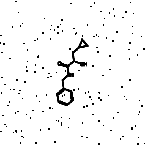 O=C(NCc1ccccc1)C(O)CC1CC1